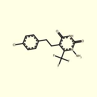 Nn1c(C(F)(F)F)c(CCc2ccc(Cl)cc2)c(=O)[nH]c1=O